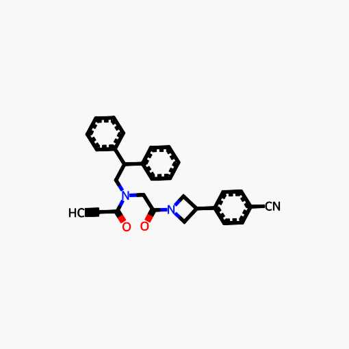 C#CC(=O)N(CC(=O)N1CC(c2ccc(C#N)cc2)C1)CC(c1ccccc1)c1ccccc1